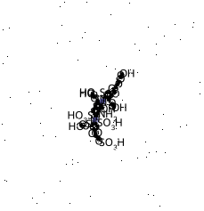 Nc1c(/N=N/c2c(SOOO)cc(S(=O)(=O)CCOS(=O)(=O)O)cc2S(=O)(=O)O)c(S(=O)(=O)O)cc2cc(SOOO)c(/N=N/c3c(SOOO)cc(S(=O)(=O)CCOSOOO)cc3S(=O)(=O)O)c(O)c12